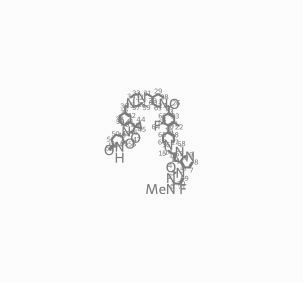 CNc1nc(=O)n(-c2ccnc3c2cc([C@H](C)N2CC=C(c4c(C)cc(C(=O)N5CCC(CN6CCN(Cc7ccc8c(c7)C7(CC7)C(=O)N8C7CCC(=O)NC7=O)C[C@@H]6C)CC5)cc4F)CC2)n3C)cc1F